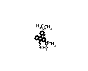 CCN(CC)c1ccc2c(-c3ccccc3C(=O)CCSC)c3ccc(=[N+](CC)CC)cc-3oc2c1